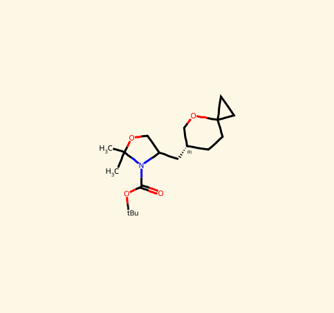 CC(C)(C)OC(=O)N1C(C[C@H]2CCC3(CC3)OC2)COC1(C)C